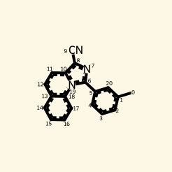 Cc1cccc(-c2nc(C#N)c3ccc4ccccc4n23)c1